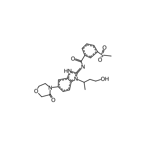 CC(CCO)n1c(=NC(=O)c2cccc(S(C)(=O)=O)c2)[nH]c2cc(N3CCOCC3=O)ccc21